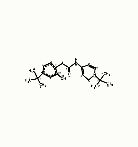 CC(C)(C)c1ccc(CC(=O)NC2=CCN(C(C)(C)C)C=C2)c(O)c1